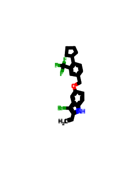 C=Cc1[nH]c2ccc(OCc3ccc(C4CCCC4)c(C(F)(F)F)c3)cc2c1Br